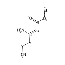 CCOC(=O)C=C(N)CCC#N